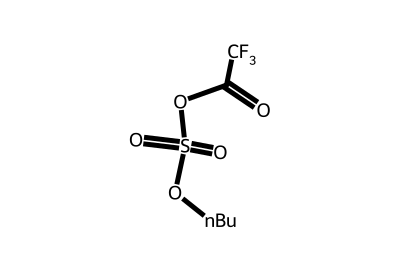 CCCCOS(=O)(=O)OC(=O)C(F)(F)F